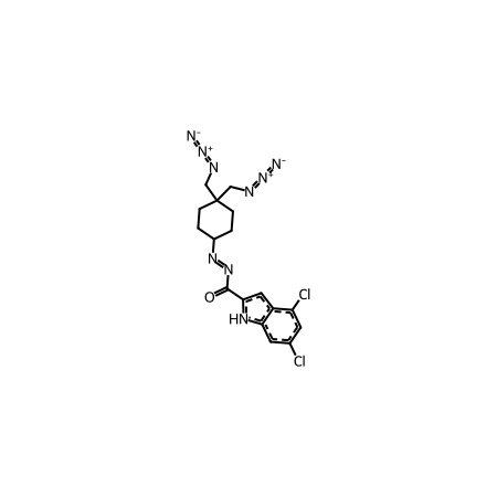 [N-]=[N+]=NCC1(CN=[N+]=[N-])CCC(N=NC(=O)c2cc3c(Cl)cc(Cl)cc3[nH]2)CC1